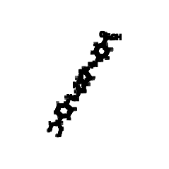 CCN(CC)c1ccc(/N=N/c2nc3sc(/N=N/c4ccc(C(=O)O)cc4)cc3s2)cc1